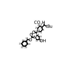 CC(C)(C)C(C(=O)O)C1CCN(C(=O)[C@H]2C[C@@H](O)CN2C(=O)OCc2ccccc2)CC1